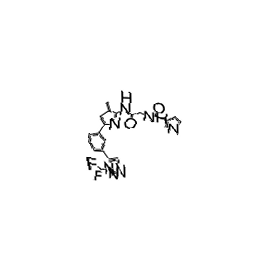 C=C1C=C(c2cccc(-c3cnnn3C(F)F)c2)N=C1NC(=O)CNC(=O)c1ccn(C)c1